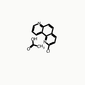 CC(=O)O.Clc1ccc2ccc3ncccc3c2n1